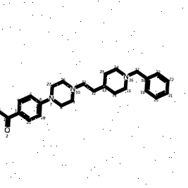 CC(=O)c1ccc(N2CCN(CCC3CCN(Cc4ccccc4)CC3)CC2)cc1